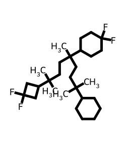 CC(C)(CCC(C)(CCC(C)(C)C1CC(F)(F)C1)C1CCC(F)(F)CC1)C1CCCCC1